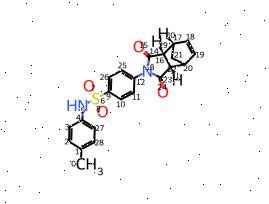 Cc1ccc(NS(=O)(=O)c2ccc(N3C(=O)[C@@H]4[C@@H]5C=CC(C5)[C@@H]4C3=O)cc2)cc1